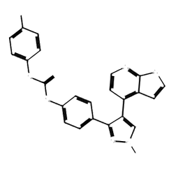 CCn1cc(-c2ccnc3[nH]ccc23)c(-c2ccc(NC(=O)Nc3ccc(F)cc3)cc2)n1